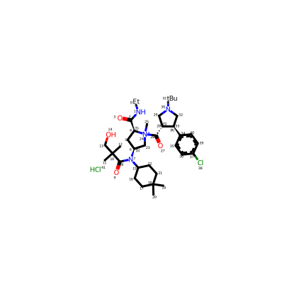 CCNC(=O)[C@@H]1C[C@H](N(C(=O)C(C)(C)CO)C2CCC(C)(C)CC2)C[N+]1(C)C(=O)[C@@H]1CN(C(C)(C)C)C[C@H]1c1ccc(Cl)cc1.Cl